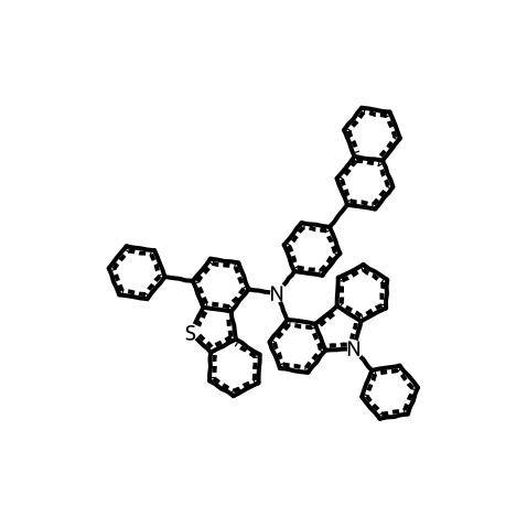 c1ccc(-c2ccc(N(c3ccc(-c4ccc5ccccc5c4)cc3)c3cccc4c3c3ccccc3n4-c3ccccc3)c3c2sc2ccccc23)cc1